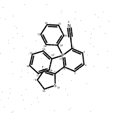 N#CC1=CC=CC(C2=NCCS2)=P1(c1ccccc1)c1ccccc1